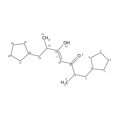 CC(CC1CCCC1)C(=O)/C=C(\O)C(C)CC1CCCC1